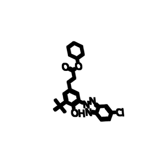 CC(C)(C)c1cc(CCC(=O)OC2CCCCC2)cc(-n2nc3ccc(Cl)cc3n2)c1O